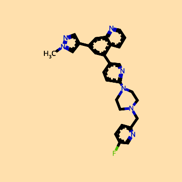 Cn1cc(-c2cc(-c3ccc(N4CCN(Cc5ccc(F)cn5)CC4)nc3)c3cccnc3c2)cn1